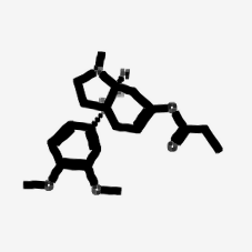 CCC(=O)OC1=CC[C@@]2(c3ccc(OC)c(OC)c3)CCN(C)[C@H]2C1